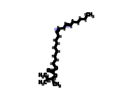 CCCCC/C=C/C/C=C\CCCCCCCCOC(=O)OC(C)C(C)C